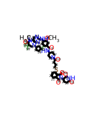 COc1cc(C(=O)NC2CCN(C(=O)CCCSc3cccc4c3C(=O)N(C3CCC(=O)NC3=O)C4=O)CC2)c(F)cc1Nc1ncc2c(n1)N(C1CCCC1)CC(F)(F)C(=O)N2C